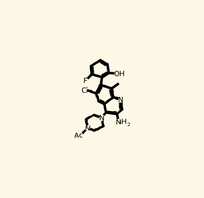 CC(=O)N1CCN(c2c(N)cnc3c(C)c(-c4c(O)cccc4F)c(Cl)cc23)CC1